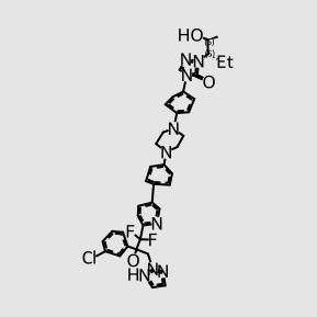 CC[C@@H]([C@H](C)O)n1ncn(-c2ccc(N3CCN(c4ccc(-c5ccc(C(F)(F)C(O)(Cn6nccn6)c6cccc(Cl)c6)nc5)cc4)CC3)cc2)c1=O